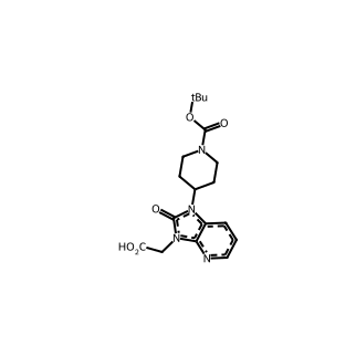 CC(C)(C)OC(=O)N1CCC(n2c(=O)n(CC(=O)O)c3ncccc32)CC1